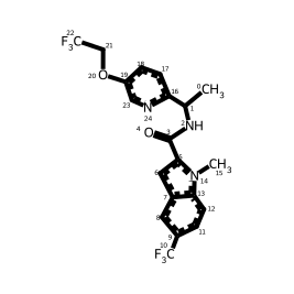 CC(NC(=O)c1cc2cc(C(F)(F)F)ccc2n1C)c1ccc(OCC(F)(F)F)cn1